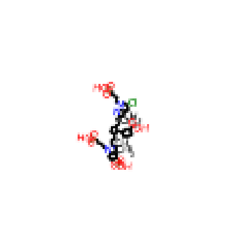 CC1(C)C2=CC(Cl)=CN(CCCCS(=O)(=O)O)C2=N/C1=C/C=C1\CCC(/C=C/C2=[N+](CCCCS(=O)(=O)O)c3ccc(S(=O)(=O)O)cc3C2(C)C)=C1c1cccc(C(=O)O)c1